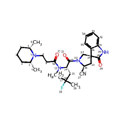 C[C@@H]1CCC[C@H](C)N1CCC(=O)N(C)[C@@H](CC(C)(C)F)C(=O)N1C[C@]2(C[C@H]1C#N)C(=O)Nc1ccccc12